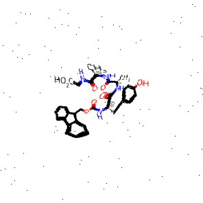 C[C@H](NC(=O)[C@H](C)NC(=O)[C@H](Cc1ccc(O)cc1)NC(=O)OCC1c2ccccc2-c2ccccc21)C(=O)NCC(=O)O